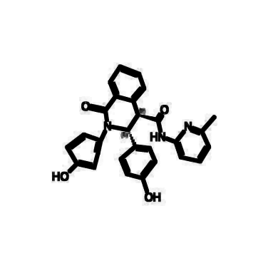 Cc1cccc(NC(=O)[C@@H]2c3ccccc3C(=O)N(c3ccc(O)cc3)[C@H]2c2ccc(O)cc2)n1